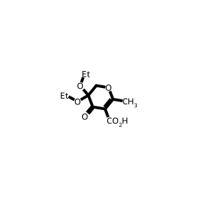 CCOC1(OCC)COC(C)=C(C(=O)O)C1=O